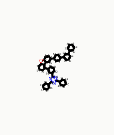 C1=c2oc3ccc(-c4ccc(-c5cccc(-c6ccccc6)c5)cc4)cc3c2=C(c2cccc(-c3nc(-c4ccccc4)nc(-c4ccccc4)n3)c2)CC1